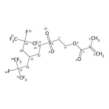 C=C(C)C(=O)OCCS(=O)(=O)CCC(CC(F)(C(F)(F)F)C(F)(F)F)CC(F)(C(F)(F)F)C(F)(F)F